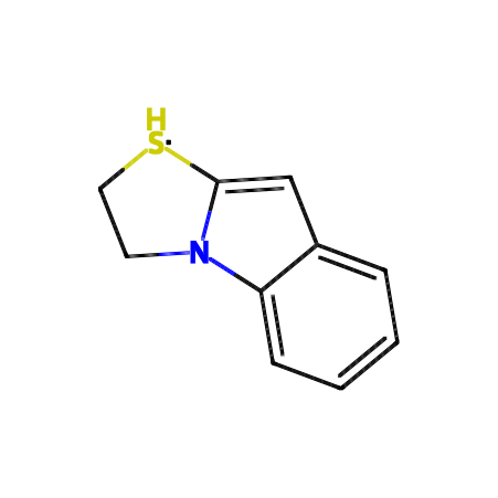 c1ccc2c(c1)cc1n2CC[SH]1